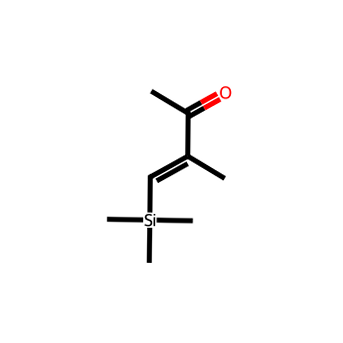 CC(=O)C(C)=C[Si](C)(C)C